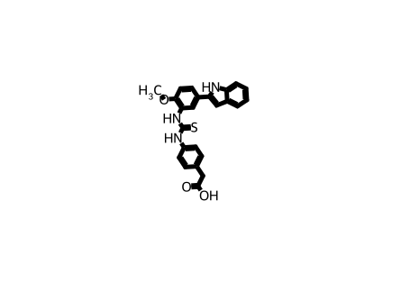 COc1ccc(-c2cc3ccccc3[nH]2)cc1NC(=S)Nc1ccc(CC(=O)O)cc1